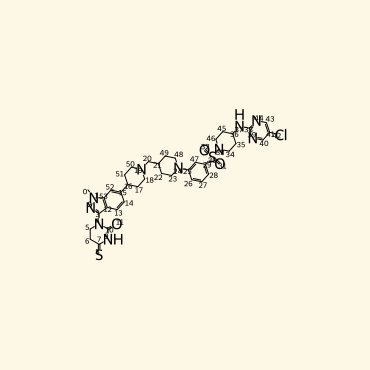 Cn1nc(N2CCC(=S)NC2=O)c2ccc(C3CCN(CC4CCN(c5cccc(S(=O)(=O)N6CCC(Nc7ncc(Cl)cn7)CC6)c5)CC4)CC3)cc21